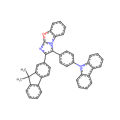 CC1(C)c2ccccc2-c2ccc(-c3nc4oc5ccccc5n4c3-c3ccc(-n4c5ccccc5c5ccccc54)cc3)cc21